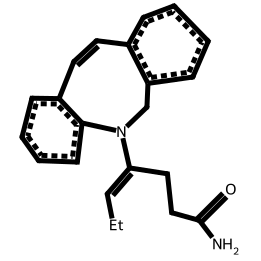 CCC=C(CCC(N)=O)N1Cc2ccccc2/C=C\c2ccccc21